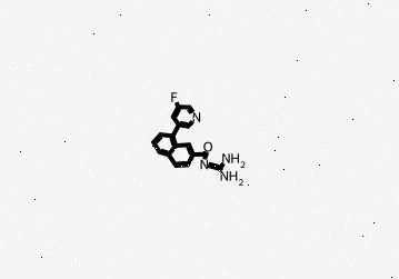 NC(N)=NC(=O)c1ccc2cccc(-c3cncc(F)c3)c2c1